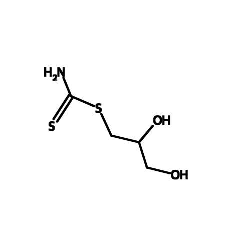 NC(=S)SCC(O)CO